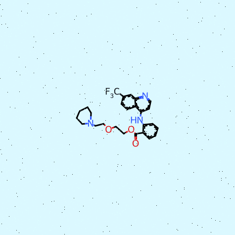 O=C(OCCOCCN1CCCCC1)c1ccccc1Nc1ccnc2cc(C(F)(F)F)ccc12